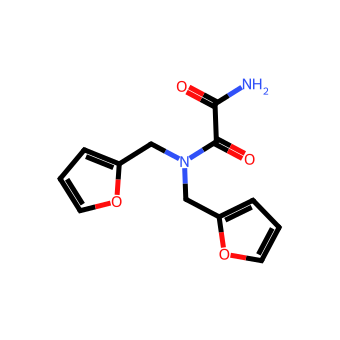 NC(=O)C(=O)N(Cc1ccco1)Cc1ccco1